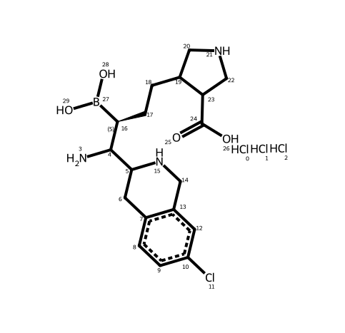 Cl.Cl.Cl.NC(C1Cc2ccc(Cl)cc2CN1)[C@H](CCC1CNCC1C(=O)O)B(O)O